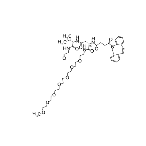 COCCOCCOCCOCCOCCOCCOCCNC(=O)[C@H](CC(=O)NC(C(=O)NCC=O)C(C)C)NC(=O)CCC(=O)N1Cc2ccccc2C#Cc2ccccc21